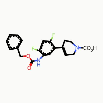 O=C(Nc1cc(C2=CCN(C(=O)O)CC2)c(F)cc1F)OCc1ccccc1